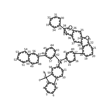 CC1(C)c2ccccc2-c2ccc(N(c3ccc(-c4cccc5oc6cc7oc(-c8ccccc8)nc7cc6c45)cc3)c3cccc(-c4ccc5ccccc5c4)c3)cc21